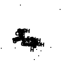 C=CC(=O)N1CCN(c2nc(NCCC(=O)N(C)CCOCC(=O)N[C@H](C(=O)N3C[C@H](O)C[C@H]3C(=O)N[C@@H](C)c3ccc(-c4scnc4C)cc3)C(C)(C)C)nc3c(F)c(-c4cc(O)cc5ccccc45)c(Cl)cc23)CC1